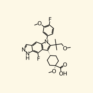 COCC(C)(C)c1c([C@H]2CC[C@](OC)(C(=O)O)CC2)c2c(F)c3[nH]ncc3cc2n1-c1ccc(F)c(OC)c1